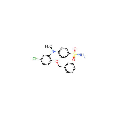 CN(c1ccc(S(N)(=O)=O)cc1)c1cc(Cl)ccc1OCc1ccccc1